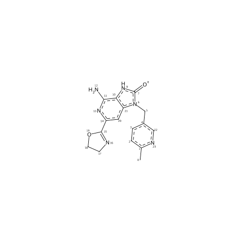 Cc1ccc(Cn2c(=O)[nH]c3c(N)nc(C4=NCCO4)cc32)cn1